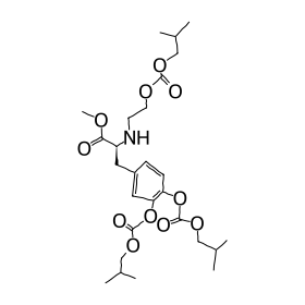 COC(=O)[C@H](Cc1ccc(OC(=O)OCC(C)C)c(OC(=O)OCC(C)C)c1)NCCOC(=O)OCC(C)C